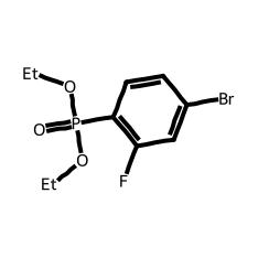 CCOP(=O)(OCC)c1ccc(Br)cc1F